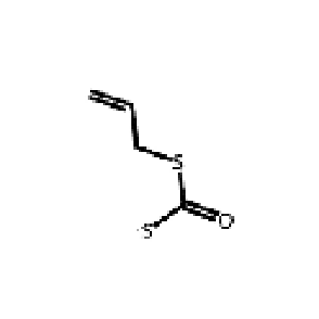 C=CCSC(=O)[S]